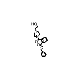 O=C(OCc1ccccc1)c1c(C(=O)N2CCN(CCO)CC2)c2ccc1o2